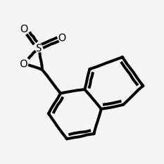 O=S1(=O)OC1c1cccc2ccccc12